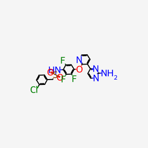 Nc1nccc(-c2cccnc2Oc2cc(F)c(NS(=O)(=O)Cc3cccc(Cl)c3)c(F)c2F)n1